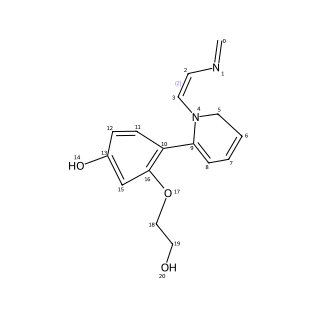 C=N/C=C\N1CC=CC=C1c1ccc(O)cc1OCCO